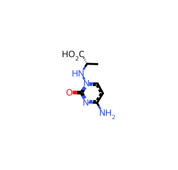 C[C@H](Nn1ccc(N)nc1=O)C(=O)O